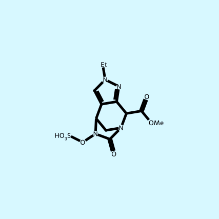 CCn1cc2c(n1)C(C(=O)OC)N1CC2N(OS(=O)(=O)O)C1=O